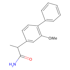 COc1cc(C(C)C(N)=O)ccc1-c1ccccc1